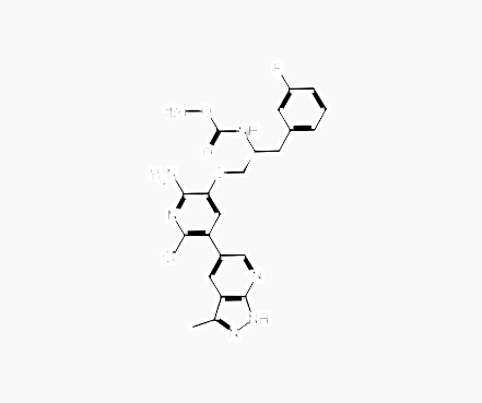 Cc1n[nH]c2ncc(-c3cc(OC[C@H](Cc4cccc(F)c4)NC(=O)OC(C)(C)C)c(N)nc3Cl)cc12